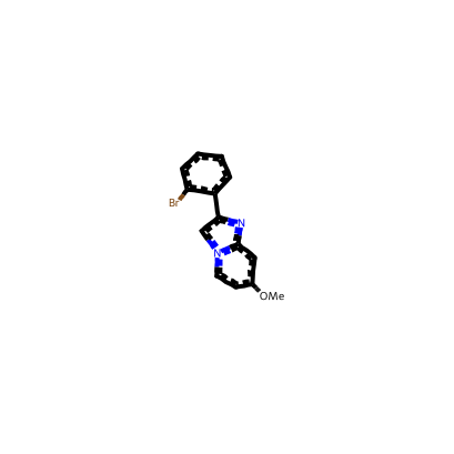 COc1ccn2cc(-c3ccccc3Br)nc2c1